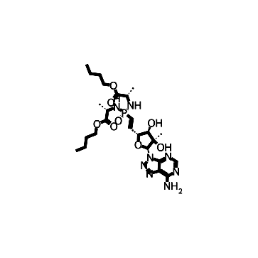 CCCCOC(=O)[C@H](C)NP(=O)(/C=C/[C@H]1O[C@@H](n2nnc3c(N)ncnc32)[C@](C)(O)[C@@H]1O)N[C@@H](C)C(=O)OCCCC